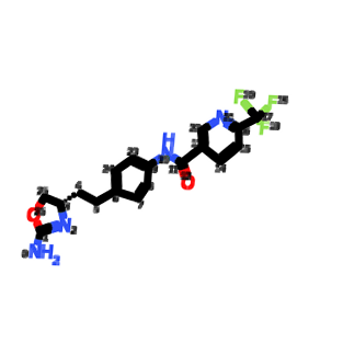 NC1=N[C@@H](CCc2ccc(NC(=O)c3ccc(C(F)(F)F)nc3)cc2)CO1